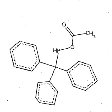 CC(=O)OPC(c1ccccc1)(c1ccccc1)c1ccccc1